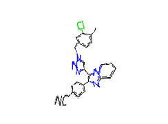 Cc1ccc(Cn2cc(-c3c(-c4ccc(C#N)cc4)nc4ccccn34)nn2)cc1Cl